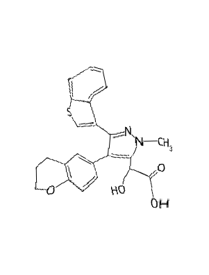 Cn1nc(-c2csc3ccccc23)c(-c2ccc3c(c2)CCCO3)c1C(O)C(=O)O